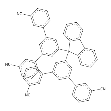 [C-]#[N+]c1cccc(-c2cc(-c3cccc(C#N)c3)cc(C3(c4cc(-c5cccc(C#N)c5)cc(-c5cccc(C#N)c5)c4)c4ccccc4-c4ccccc43)c2)c1